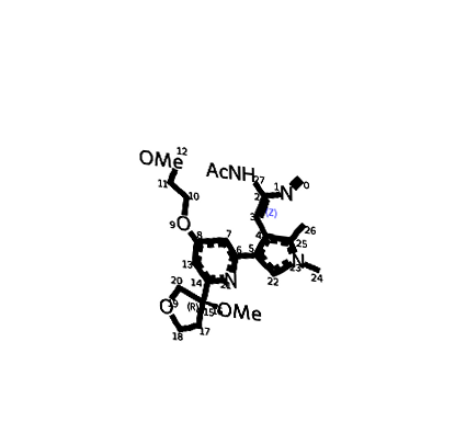 C=N/C(=C\c1c(-c2cc(OCCOC)cc([C@]3(OC)CCOC3)n2)cn(C)c1C)NC(C)=O